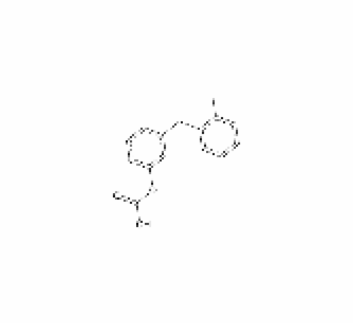 Cc1ccccc1Cc1ccnc(OC(=O)O)c1